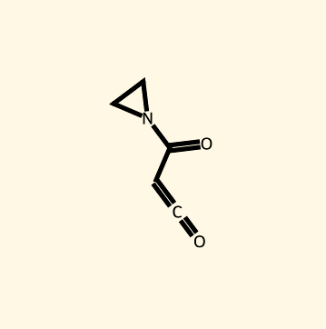 O=C=CC(=O)N1CC1